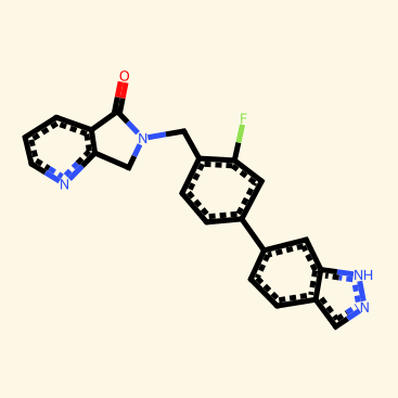 O=C1c2cccnc2CN1Cc1ccc(-c2ccc3cn[nH]c3c2)cc1F